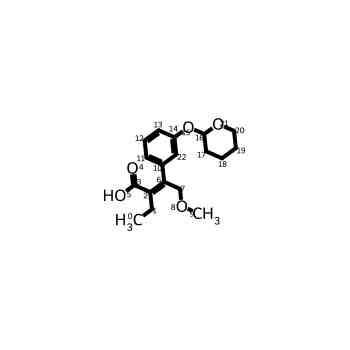 CCC(C(=O)O)=C(COC)c1cccc(OC2CCCCO2)c1